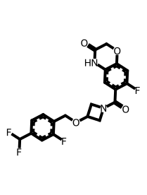 O=C1COc2cc(F)c(C(=O)N3CC(OCc4ccc(C(F)F)cc4F)C3)cc2N1